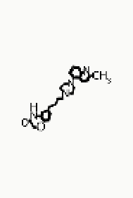 Cc1ccc2c(N3CCN(CCCCc4ccc5c(c4)NC(=O)CO5)CC3)cccc2n1